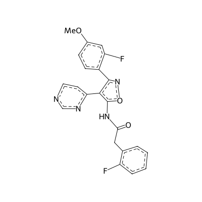 COc1ccc(-c2noc(NC(=O)Cc3ccccc3F)c2-c2ccncn2)c(F)c1